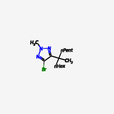 CCCCCCC(C)(CCCCC)c1nn(C)nc1Br